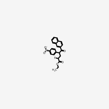 CCOC(=O)C(F)CC(C(=O)c1ccc2ccccc2c1)c1ccc([N+](=O)[O-])cc1